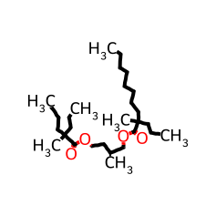 CCCCCCCCC(C)(CCC)C(=O)OC[C@H](C)CCOC(=O)C(C)(CCC)CCCC